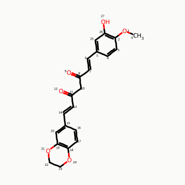 COc1ccc(C=CC(=O)CC(=O)C=Cc2ccc3c(c2)OCCO3)cc1O